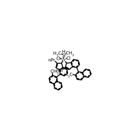 CCCC1=Cc2c(-c3c(C)ccc4ccccc34)cccc2[CH]1[Zr]([Cl])([Cl])([CH]1C(CCC)=Cc2c(-c3c(C)ccc4ccccc34)cccc21)[SiH](C)C